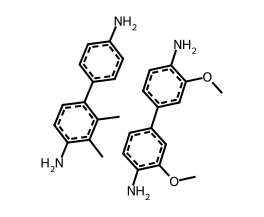 COc1cc(-c2ccc(N)c(OC)c2)ccc1N.Cc1c(N)ccc(-c2ccc(N)cc2)c1C